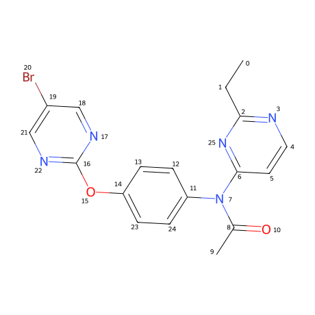 CCc1nccc(N(C(C)=O)c2ccc(Oc3ncc(Br)cn3)cc2)n1